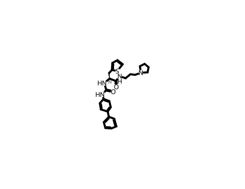 O=C(Nc1ccc(-c2ccccc2)cc1)N[C@@H](Cc1cccs1)C(=O)NCCCN1CCCC1